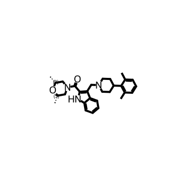 Cc1cccc(C)c1C1CCN(Cc2c(C(=O)N3C[C@@H](C)O[C@@H](C)C3)[nH]c3ccccc23)CC1